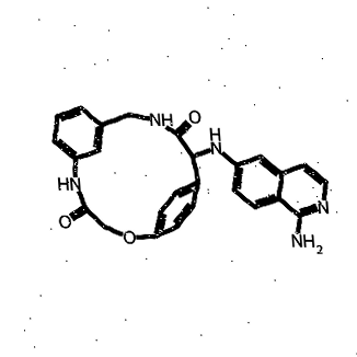 Nc1nccc2cc(NC3C(=O)NCc4cccc(c4)NC(=O)COc4ccc3cc4)ccc12